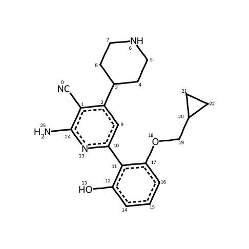 N#Cc1c(C2CCNCC2)cc(-c2c(O)cccc2OCC2CC2)nc1N